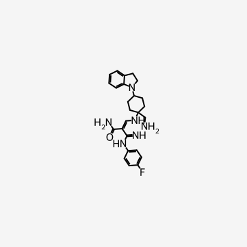 N=C(Nc1ccc(F)cc1)/C(=C\NC1(CN)CCC(N2CCc3ccccc32)CC1)C(N)=O